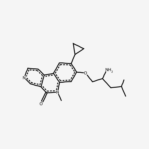 CC(C)CC(N)COc1cc2c(cc1C1CC1)c1ccncc1c(=O)n2C